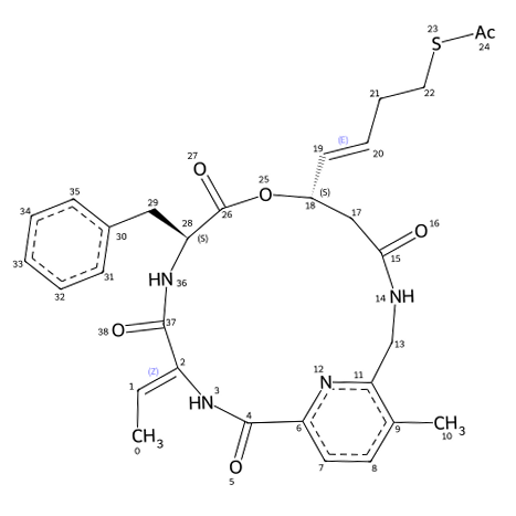 C/C=C1\NC(=O)c2ccc(C)c(n2)CNC(=O)C[C@@H](/C=C/CCSC(C)=O)OC(=O)[C@H](Cc2ccccc2)NC1=O